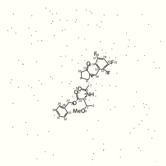 CO[C@H](C)[C@H](NC(=O)C[C@@H]1CCC(=O)N1Cc1cc(F)cc(F)c1F)C(=O)OCc1ccccc1